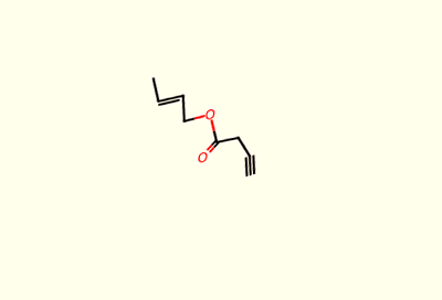 C#CCC(=O)OCC=CC